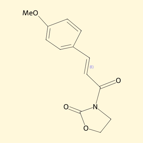 COc1ccc(/C=C/C(=O)N2CCOC2=O)cc1